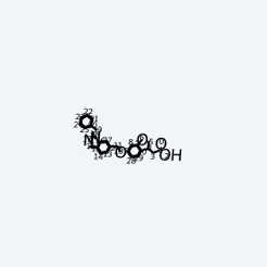 O=C(O)CC1COc2cc(OCc3ccc4cnn(Cc5ccccc5)c4c3)ccc21